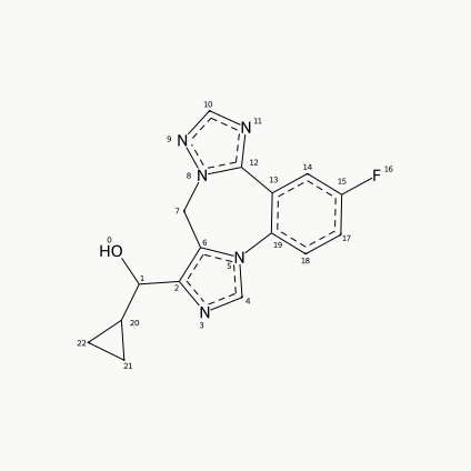 OC(c1ncn2c1Cn1ncnc1-c1cc(F)ccc1-2)C1CC1